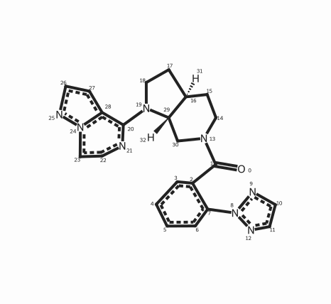 O=C(c1ccccc1-n1nccn1)N1CC[C@@H]2CCN(c3nccn4nccc34)[C@H]2C1